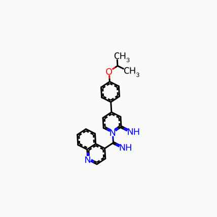 CC(C)Oc1ccc(-c2ccn(C(=N)c3ccnc4ccccc34)c(=N)c2)cc1